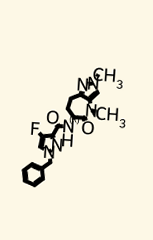 CN1C(=O)[C@H](NC(=O)c2nn(Cc3ccccc3)cc2F)CCc2nn(C)cc21